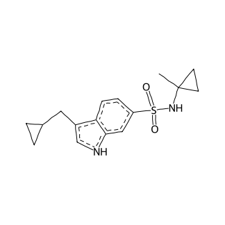 CC1(NS(=O)(=O)c2ccc3c(CC4CC4)c[nH]c3c2)CC1